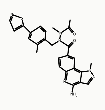 CC(=O)N(C)N(Cc1ccc(-c2ccns2)cc1F)C(=O)c1ccc2nc(N)c3cnn(C)c3c2c1